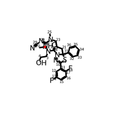 CCN(CCO)C(=O)N1N=C(c2cc(F)ccc2F)SC1(CCCN(C)/C(N)=N/C#N)c1ccccc1